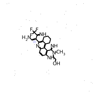 CN(CCO)C(=N)c1c(N)ccc2nc(/C(=C/N)C(=N)C(F)(F)F)c3c(c12)CCCC3